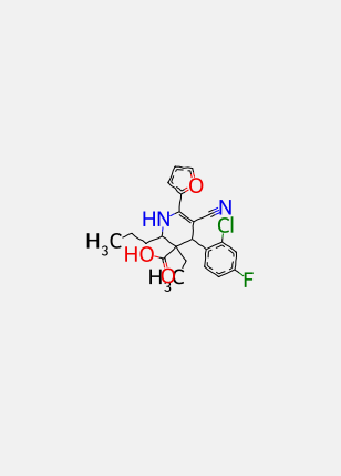 CCCC1NC(c2ccco2)=C(C#N)C(c2ccc(F)cc2Cl)C1(CC)C(=O)O